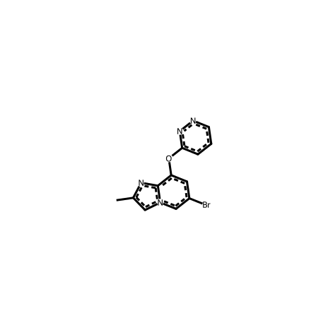 Cc1cn2cc(Br)cc(Oc3cccnn3)c2n1